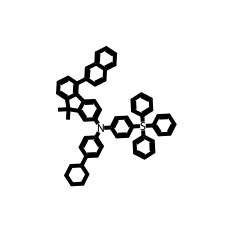 CC1(C)c2cc(N(c3ccc(C4CCCCC4)cc3)c3ccc(S(c4ccccc4)(c4ccccc4)c4ccccc4)cc3)ccc2-c2c(-c3ccc4ccccc4c3)cccc21